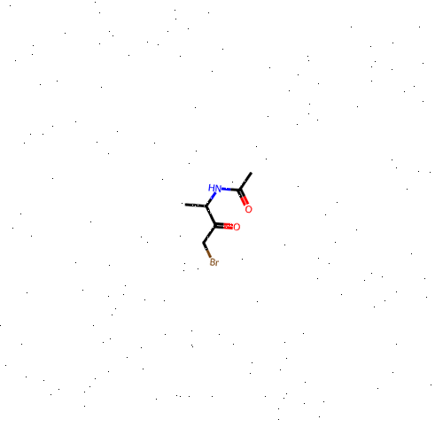 CC(=O)NC(C)C(=O)CBr